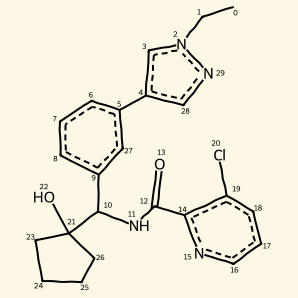 CCn1cc(-c2cccc(C(NC(=O)c3ncccc3Cl)C3(O)CCCC3)c2)cn1